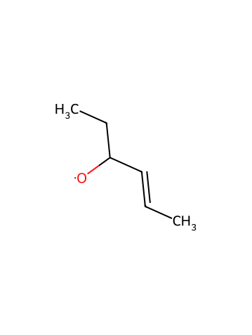 CC=CC([O])CC